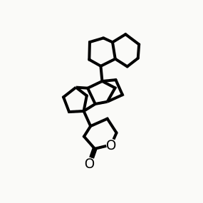 O=C1CC(C23CCC(C2)C2C3C3CCC2(C2CCCC4CCCCC42)C3)CCO1